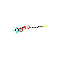 O=C(COCCOCCCCCCCCCCCS)Oc1c(F)c(F)c(F)c(F)c1F